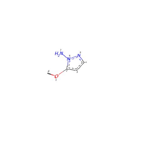 COc1ccnn1N